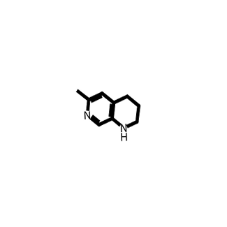 Cc1cc2c(cn1)NCCC2